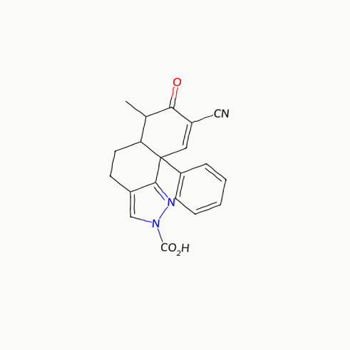 CC1C(=O)C(C#N)=CC2(c3ccccc3)c3nn(C(=O)O)cc3CCC12